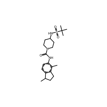 Cc1c(NC(=O)N2CCC(NS(=O)(=O)C(C)(C)C)CC2)ccc2c1CCC2C